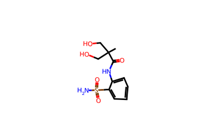 CC(CO)(CO)C(=O)Nc1ccccc1S(N)(=O)=O